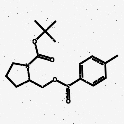 Cc1ccc(S(=O)OCC2CCCN2C(=O)OC(C)(C)C)cc1